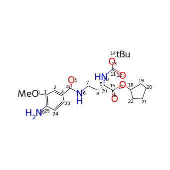 COc1cc(C(=O)NCC[C@H](NC(=O)OC(C)(C)C)C(=O)OC2CCCC2)ccc1N